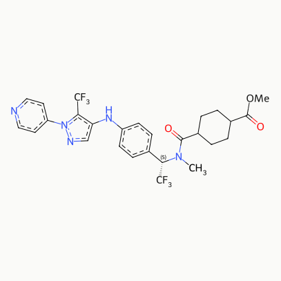 COC(=O)C1CCC(C(=O)N(C)[C@@H](c2ccc(Nc3cnn(-c4ccncc4)c3C(F)(F)F)cc2)C(F)(F)F)CC1